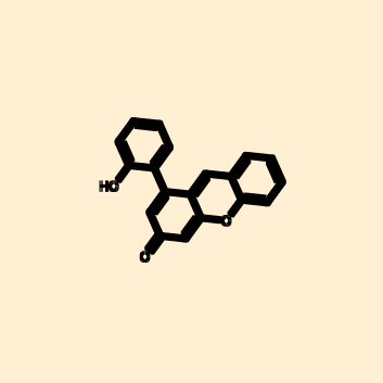 O=c1cc2oc3ccccc3cc-2c(-c2ccccc2O)c1